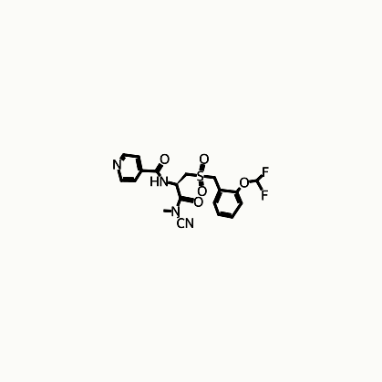 CN(C#N)C(=O)[C@H](CS(=O)(=O)Cc1ccccc1OC(F)F)NC(=O)c1ccncc1